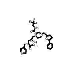 NC(=O)[C@H](Cc1ccncc1)C[C@H](O)CN1CCN(Cc2ccc(-c3ccccc3)o2)C[C@H]1C(=O)NCC(F)(F)F